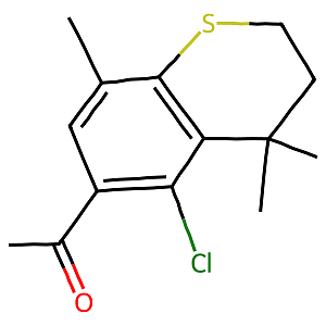 CC(=O)c1cc(C)c2c(c1Cl)C(C)(C)CCS2